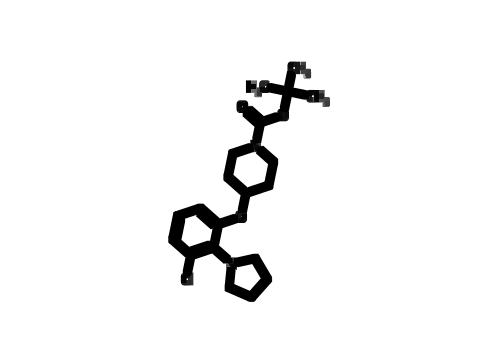 CC(C)(C)OC(=O)N1CCC(Oc2cccc(Cl)c2N2CCCC2)CC1